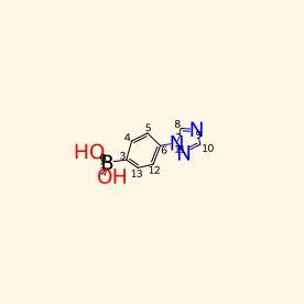 OB(O)c1ccc(-n2cncn2)cc1